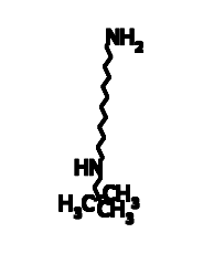 CC(C)(C)CCNCCCCCCCCCCCCN